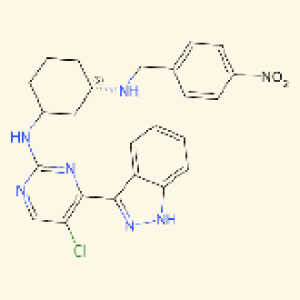 O=[N+]([O-])c1ccc(CN[C@H]2CCCC(Nc3ncc(Cl)c(-c4n[nH]c5ccccc45)n3)C2)cc1